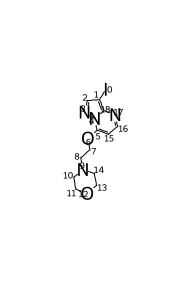 Ic1cnn2c(OCCN3CCOCC3)ccnc12